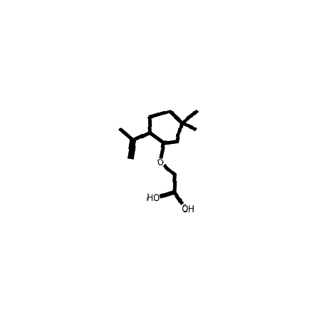 C=C(C)C1CCC(C)(C)CC1OCC(O)O